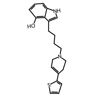 Oc1cccc2[nH]cc(CCCCN3CC=C(c4cccs4)CC3)c12